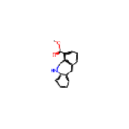 COC(=O)c1cccc2c1CNc1ccccc1C2